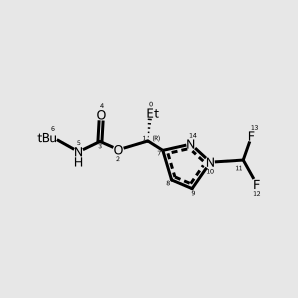 CC[C@@H](OC(=O)NC(C)(C)C)c1ccn(C(F)F)n1